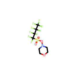 O=S(=O)(ON1CCOCC1)C(F)(F)C(F)(F)C(F)(F)C(F)(F)F